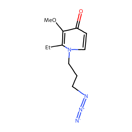 CCc1c(OC)c(=O)ccn1CCCN=[N+]=[N-]